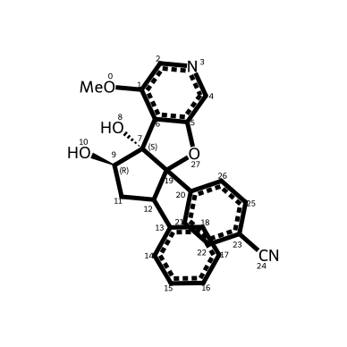 COc1cncc2c1[C@]1(O)[C@H](O)CC(c3ccccc3)C1(c1ccc(C#N)cc1)O2